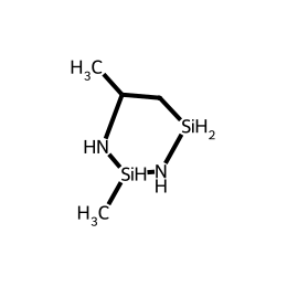 CC1C[SiH2]N[SiH](C)N1